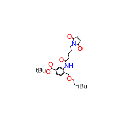 CCC(C)CCOCc1ccc(C(=O)OC(C)(C)C)cc1NC(=O)CCCCN1C(=O)C=CC1=O